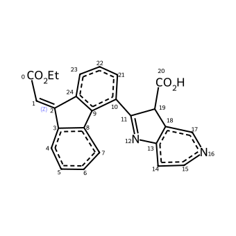 CCOC(=O)/C=C1/c2ccccc2-c2c(C3=Nc4ccncc4C3C(=O)O)cccc21